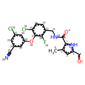 Cc1cc(C=O)[nH]c1C(=O)NCc1ccc(Cl)c(Oc2cc(Cl)cc(C#N)c2)c1F